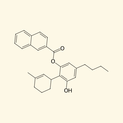 CCCCc1cc(O)c(C2C=C(C)CCC2)c(OC(=O)c2ccc3ccccc3c2)c1